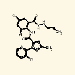 Bc1cc(C(=O)NC2=C(C(=O)NNCC=C)C=C(Cl)CC2Cl)n(-c2ncccc2Cl)n1